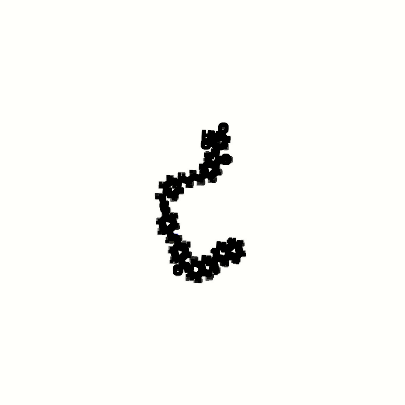 O=C1CCC(N2Cc3cc(CCCCN4CCN(CC#Cc5ccc(/C=C/c6ccc(C(=O)N7CCc8cnc(-c9cnc%10ccccc%10c9)nc8C7)cc6)cc5)CC4)ccc3C2=O)C(=O)N1